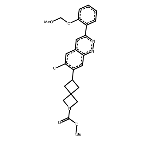 COCOc1ccccc1-c1cc2cc(Cl)c(C3CC4(C3)CN(C(=O)OC(C)(C)C)C4)cc2nn1